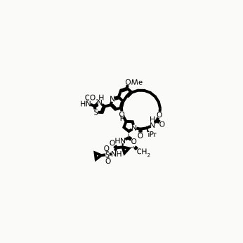 C=C[C@@H]1C[C@]1(NC(=O)[C@@H]1C[C@@H]2CN1C(=O)[C@H](C(C)C)NC(=O)OCCCCCCc1cc3c(cc(-c4csc(NC(=O)O)n4)nc3cc1OC)O2)C(=O)NS(=O)(=O)C1CC1